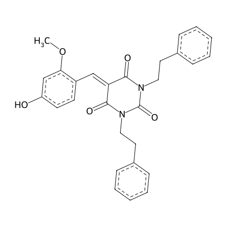 COc1cc(O)ccc1C=C1C(=O)N(CCc2ccccc2)C(=O)N(CCc2ccccc2)C1=O